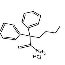 CCCCC(C(N)=O)(c1ccccc1)c1ccccc1.Cl